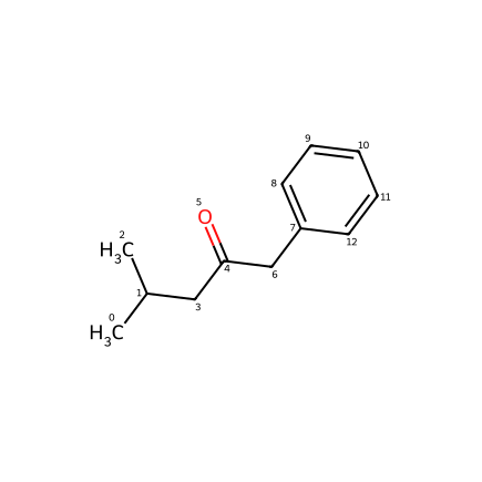 CC(C)CC(=O)Cc1ccccc1